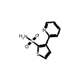 NS(=O)(=O)c1sccc1-c1ccccn1